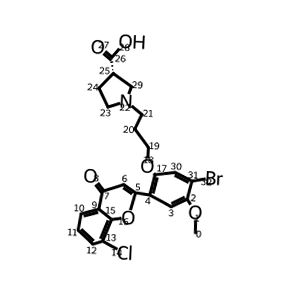 COc1cc(-c2cc(=O)c3cccc(Cl)c3o2)c(OCCCN2CC[C@H](C(=O)O)C2)cc1Br